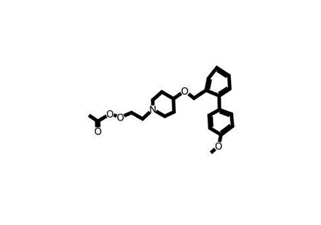 COc1ccc(-c2ccccc2COC2CCN(CCOOC(C)=O)CC2)cc1